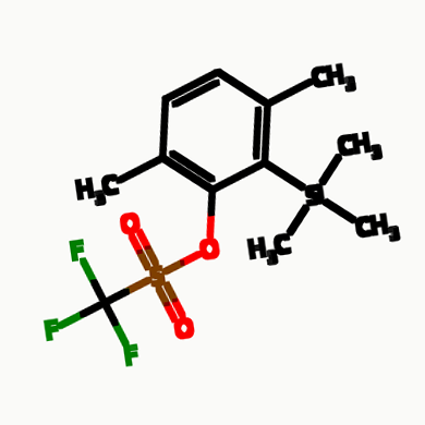 Cc1ccc(C)c([Si](C)(C)C)c1OS(=O)(=O)C(F)(F)F